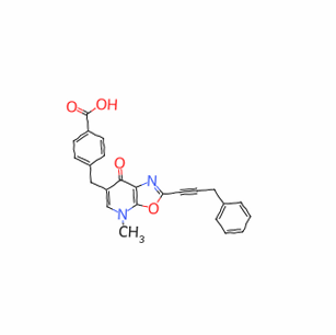 Cn1cc(Cc2ccc(C(=O)O)cc2)c(=O)c2nc(C#CCc3ccccc3)oc21